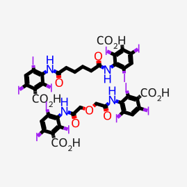 O=C(CCCCC(=O)Nc1c(I)cc(I)c(C(=O)O)c1I)Nc1c(I)cc(I)c(C(=O)O)c1I.O=C(COCC(=O)Nc1c(I)cc(I)c(C(=O)O)c1I)Nc1c(I)cc(I)c(C(=O)O)c1I